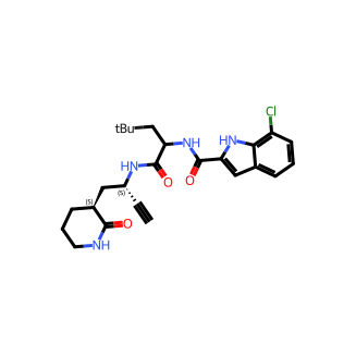 C#C[C@H](C[C@@H]1CCCNC1=O)NC(=O)C(CC(C)(C)C)NC(=O)c1cc2cccc(Cl)c2[nH]1